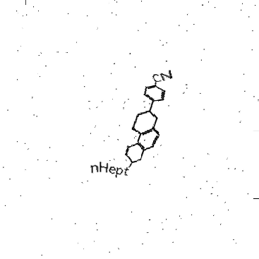 CCCCCCCC1CCc2c(ccc3c2CCC(c2ccc(C#N)cc2)C3)C1